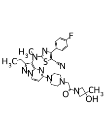 CCc1nn2ccc(N3CCN(CC(=O)N4CC(C)(O)C4)CC3)nc2c1N(C)c1nc(-c2ccc(F)cc2)c(C#N)s1